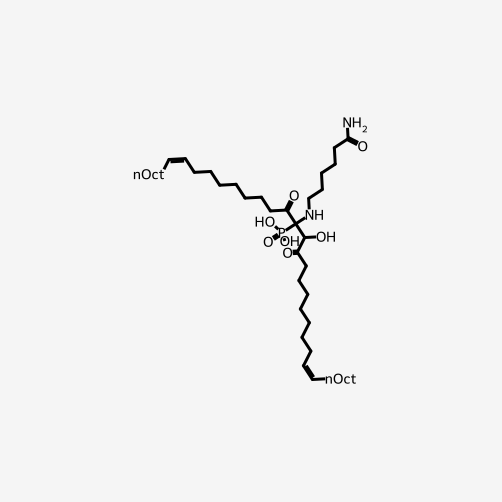 CCCCCCCC/C=C\CCCCCCCC(=O)C(O)C(NCCCCCC(N)=O)(C(=O)CCCCCCC/C=C\CCCCCCCC)P(=O)(O)O